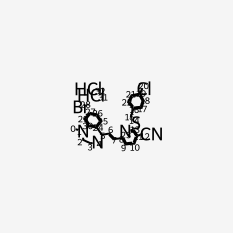 CN1CCN=C(C=Cc2ccc(C#N)c(SCc3ccc(Cl)cc3)n2)c2ccc(Br)cc21.Cl.Cl